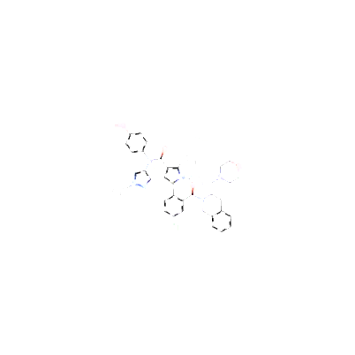 Cc1c(C(=O)N(c2ccc(O)cc2)c2cnn(C)c2)cc(-c2ccc(Cl)cc2C(=O)N2Cc3ccccc3C[C@H]2CN2CCOCC2)n1C.Cl